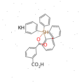 O=C(O)c1cccc(C(=O)O[SH](c2ccccc2)(c2ccccc2)(c2ccccc2)c2ccccc2)c1.[KH]